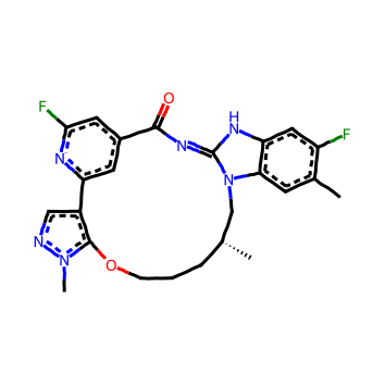 Cc1cc2c(cc1F)N/C1=N\C(=O)c3cc(F)nc(c3)-c3cnn(C)c3OCCC[C@@H](C)CN12